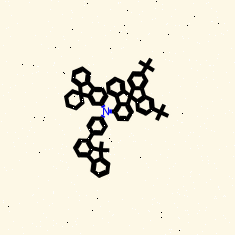 CC(C)(C)c1ccc2c(c1)-c1cc(C(C)(C)C)ccc1C21c2ccccc2-c2c(N(c3ccc(-c4cccc5c4C(C)(C)c4ccccc4-5)cc3)c3ccc4c(c3)C3(CCCCC3)c3ccccc3-4)cccc21